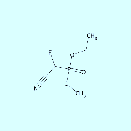 CCOP(=O)(OC)C(F)C#N